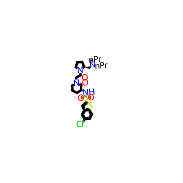 CCCN(CCC)C[C@@H]1CCCN1C(=O)CN1CCC[C@H](NS(=O)(=O)c2cc3cc(Cl)ccc3s2)C1=O